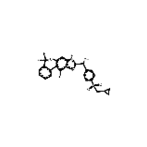 O=S(=O)(CC1CC1)c1ccc(C(O)c2nc3c(Cl)c(-c4ccccc4C(F)(F)F)c(Cl)cc3[nH]2)cc1